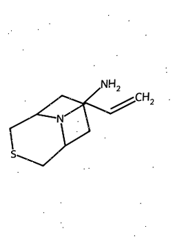 C=CCN1C2CSCC1CC(N)C2